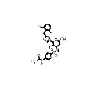 CC(=O)Nc1ccc(S(=O)(=O)NC(CC(=O)O)C(=O)Cn2nnc(Cc3c(Cl)cccc3Cl)n2)cc1